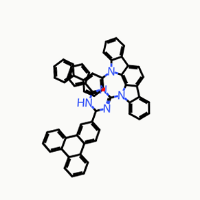 c1ccc(C2=NC(n3c4ccccc4c4ccc5c6ccccc6n(-c6cccc(-c7ccccc7)c6)c5c43)=NC(c3ccc4c5ccccc5c5ccccc5c4c3)N2)cc1